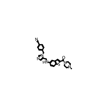 CN1CCN(C(=O)c2cc3cc(NCc4cncn4Cc4ccc(C#N)cc4)ccc3s2)CC1